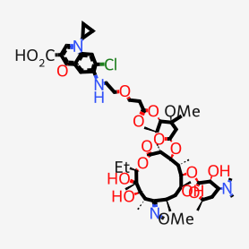 CC[C@H]1OC(=O)[C@H](C)[C@@H](O[C@H]2C[C@@](C)(OC)[C@@H](OC(=O)CCOCCNc3cc4c(=O)c(C(=O)O)cn(C5CC5)c4cc3Cl)[C@H](C)O2)[C@H](C)[C@@H](O[C@@H]2O[C@H](C)C[C@H](N(C)C)[C@H]2O)[C@](C)(O)C[C@@H](C)/C(=N\OC)[C@H](C)[C@@H](O)[C@]1(C)O